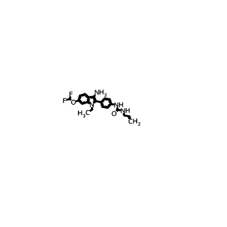 C=CCNC(=O)Nc1ccc(-c2c(N)c3ccc(OC(F)F)cc3n2CC)cc1